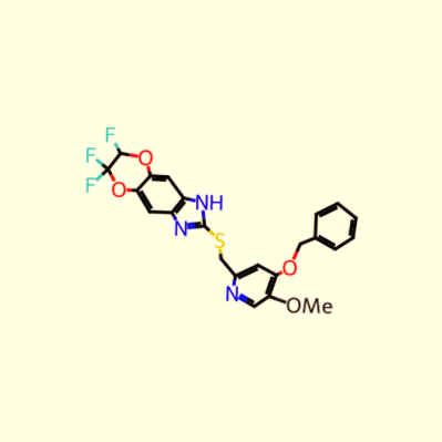 COc1cnc(CSc2nc3cc4c(cc3[nH]2)OC(F)C(F)(F)O4)cc1OCc1ccccc1